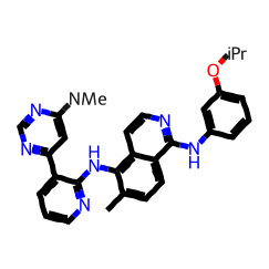 CNc1cc(-c2cccnc2Nc2c(C)ccc3c(Nc4cccc(OC(C)C)c4)nccc23)ncn1